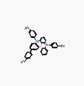 CC(C)c1ccc(-c2ccc3c(c2)B2c4ccccc4N(c4ccc(C(C)C)cc4)c4cccc(c42)N3c2ccc(C(C)C)cc2)cc1